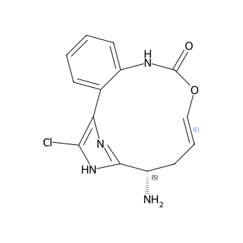 N[C@H]1C/C=C/OC(=O)Nc2ccccc2-c2nc1[nH]c2Cl